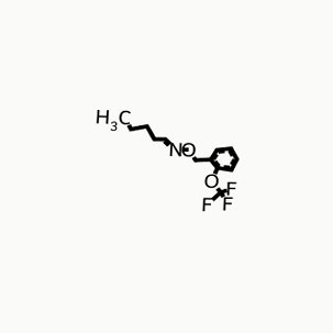 CCCCC=NOCc1ccccc1OC(F)(F)F